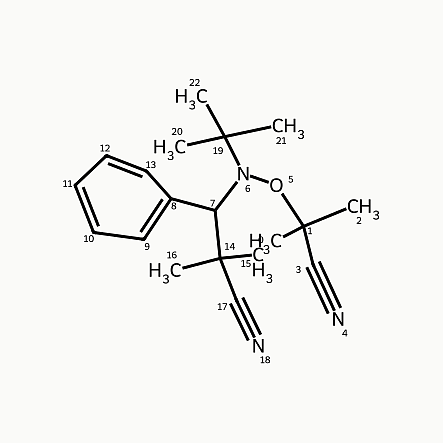 CC(C)(C#N)ON(C(c1ccccc1)C(C)(C)C#N)C(C)(C)C